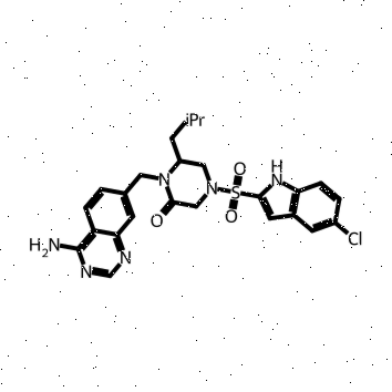 CC(C)CC1CN(S(=O)(=O)c2cc3cc(Cl)ccc3[nH]2)CC(=O)N1Cc1ccc2c(N)ncnc2c1